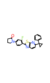 O=C1CCCN1c1ccc(-c2nc3ccc(C4(c5ccccc5)CC4)nc3s2)c(F)c1